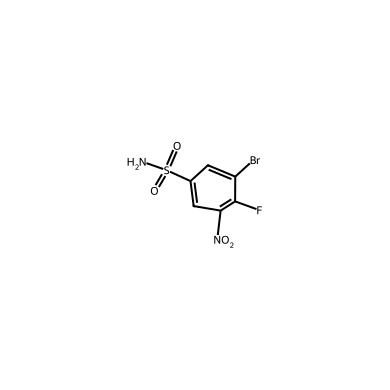 NS(=O)(=O)c1cc(Br)c(F)c([N+](=O)[O-])c1